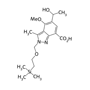 COc1c(C(C)O)cc(C(=O)O)c2nn(COCC[Si](C)(C)C)c(C)c12